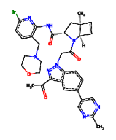 CC(=O)c1nn(CC(=O)N2[C@H](C(=O)Nc3nc(Br)ccc3CN3CCOCC3)C[C@@]3(C)C=C[C@@H]23)c2ccc(-c3cnc(C)nc3)cc12